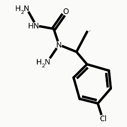 [CH2]C(c1ccc(Cl)cc1)N(N)C(=O)NN